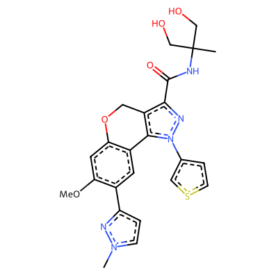 COc1cc2c(cc1-c1ccn(C)n1)-c1c(c(C(=O)NC(C)(CO)CO)nn1-c1ccsc1)CO2